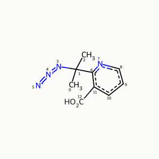 CC(C)(N=[N+]=[N-])c1ncccc1C(=O)O